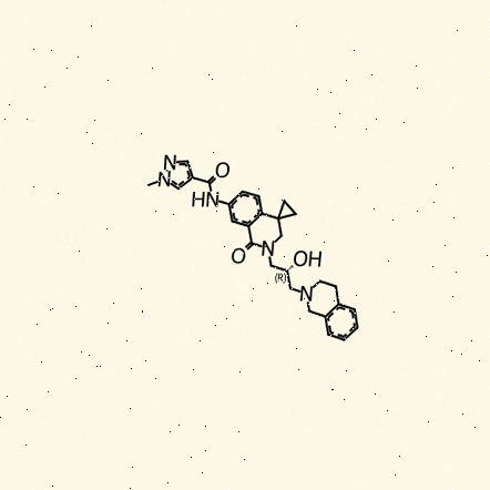 Cn1cc(C(=O)Nc2ccc3c(c2)C(=O)N(C[C@H](O)CN2CCc4ccccc4C2)CC32CC2)cn1